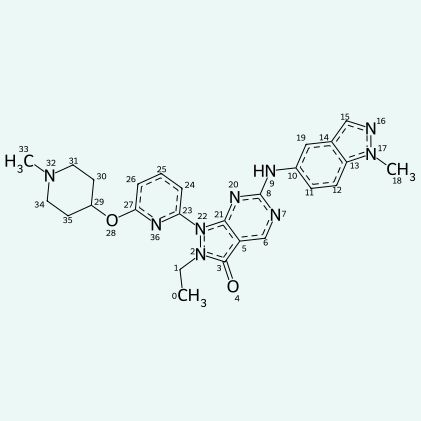 CCn1c(=O)c2cnc(Nc3ccc4c(cnn4C)c3)nc2n1-c1cccc(OC2CCN(C)CC2)n1